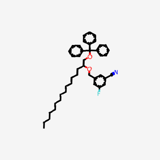 CCCCCCCCCCCCCCC(COC(c1ccccc1)(c1ccccc1)c1ccccc1)OCc1cc(F)cc(C#N)c1